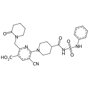 N#Cc1cc(C(=O)O)c(CN2CCCCC2=O)nc1N1CCC(C(=O)NS(=O)(=O)Nc2ccccc2)CC1